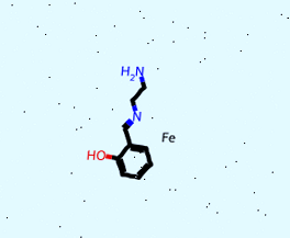 NCCN=Cc1ccccc1O.[Fe]